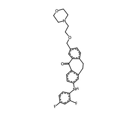 O=C1c2ccc(Nc3ccc(F)cc3F)cc2CCc2ccc(COCCN3CCOCC3)cc21